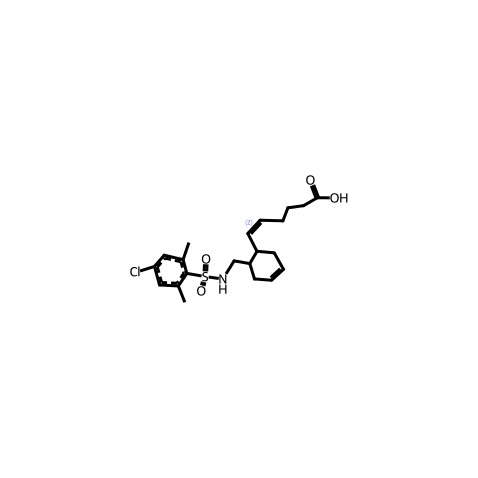 Cc1cc(Cl)cc(C)c1S(=O)(=O)NCC1CC=CCC1/C=C\CCCC(=O)O